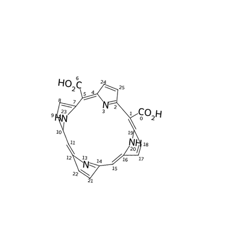 O=C(O)c1c2nc(c(C(=O)O)c3ccc(cc4nc(cc5ccc1[nH]5)C=C4)[nH]3)C=C2